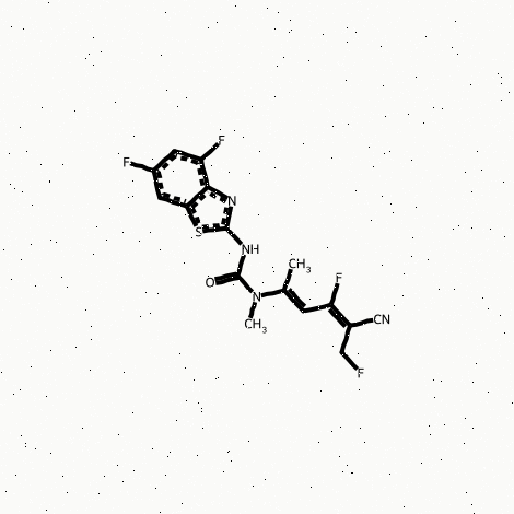 C/C(=C\C(F)=C(\C#N)CF)N(C)C(=O)Nc1nc2c(F)cc(F)cc2s1